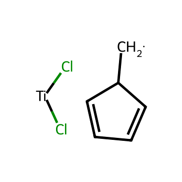 [CH2]C1C=CC=C1.[Cl][Ti][Cl]